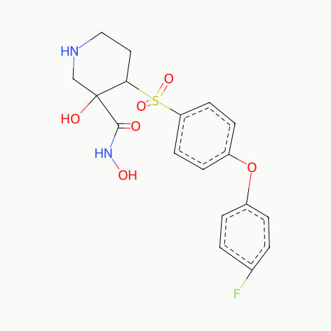 O=C(NO)C1(O)CNCCC1S(=O)(=O)c1ccc(Oc2ccc(F)cc2)cc1